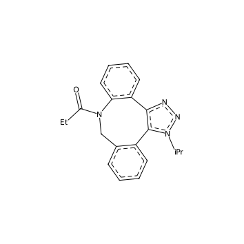 CCC(=O)N1Cc2ccccc2-c2c(nnn2C(C)C)-c2ccccc21